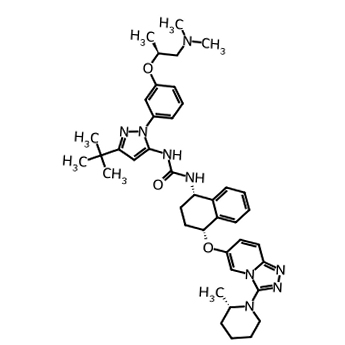 C[C@@H](CN(C)C)Oc1cccc(-n2nc(C(C)(C)C)cc2NC(=O)N[C@H]2CC[C@@H](Oc3ccc4nnc(N5CCCC[C@@H]5C)n4c3)c3ccccc32)c1